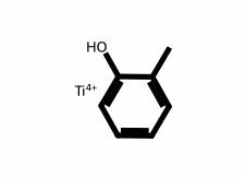 Cc1ccccc1O.[Ti+4]